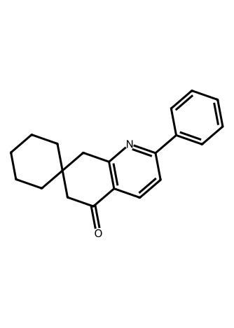 O=C1CC2(CCCCC2)Cc2nc(-c3ccccc3)ccc21